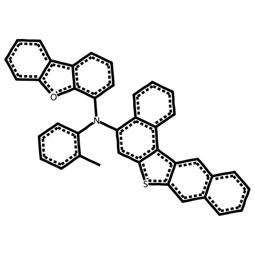 Cc1ccccc1N(c1cc2sc3cc4ccccc4cc3c2c2ccccc12)c1cccc2c1oc1ccccc12